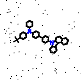 CC(C)(C)c1ccc(N(c2ccccc2)c2ccc(-c3ccc(-n4c5ccccc5c5c6ccccc6ccc54)cc3)cc2)cc1